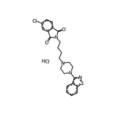 Cl.O=C1c2ccc(Cl)cc2C(=O)N1CCCCN1CCN(c2nsc3ccccc23)CC1